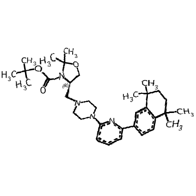 CC(C)(C)OC(=O)N1[C@H](CN2CCN(c3cccc(-c4ccc5c(c4)C(C)(C)CCC5(C)C)n3)CC2)COC1(C)C